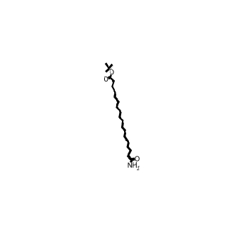 CC(C)(C)OC(=O)CCCCCCCCCCCCCCCCC(N)=O